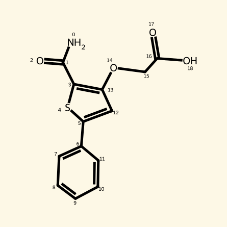 NC(=O)c1sc(-c2ccccc2)cc1OCC(=O)O